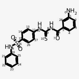 Nc1cccc(C(=O)NC(=S)Nc2ccc(S(=O)(=O)Nc3ccccc3)cc2)c1